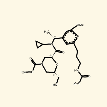 COC(=O)NCCCc1cc([C@@H](C)N(C(=O)[C@H]2CN(C(=O)OC(C)(C)C)C[C@@H](CO)O2)C2CC2)cc(OC)n1